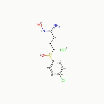 Cl.NC(CCC[S+]([O-])c1ccc(Cl)cc1)=NO